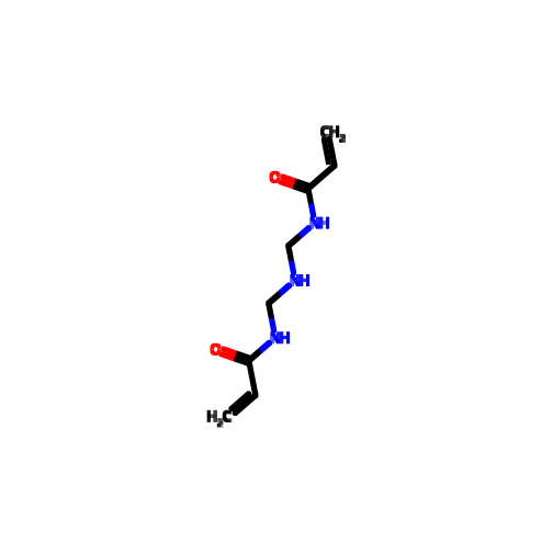 C=CC(=O)NCNCNC(=O)C=C